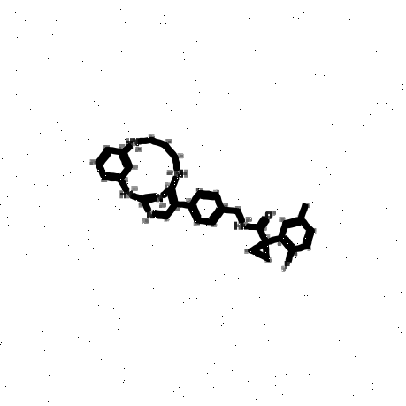 Cc1ccc(F)c(C2(C(=O)NCc3ccc(-c4cnc5nc4NCCCNc4cccc(c4)N5)cc3)CC2)c1